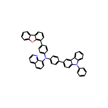 c1ccc(-n2c3ccccc3c3cc(-c4ccc(N(c5ccc(-c6cccc7c6oc6ccccc67)cc5)c5cccc6cccnc56)cc4)ccc32)cc1